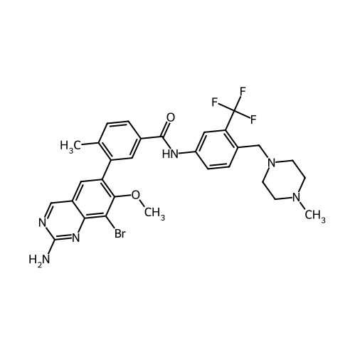 COc1c(-c2cc(C(=O)Nc3ccc(CN4CCN(C)CC4)c(C(F)(F)F)c3)ccc2C)cc2cnc(N)nc2c1Br